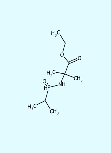 CCOC(=O)C(C)(C)N[PH](=O)C(C)C